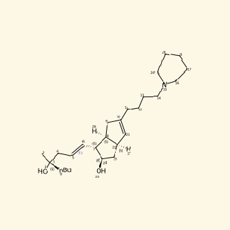 CCCC[C@](C)(O)C/C=C/[C@@H]1[C@H]2CC(CCCCN3CCCCC3)=C[C@H]2C[C@H]1O